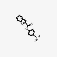 O=C(Oc1ccc([N+](=O)[O-])cc1)c1cc2ccccc2o1